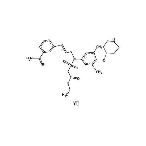 CCOC(=O)CS(=O)(=O)N(C/C=C/c1cccc(C(=N)N)c1)c1cc(C)c(OC2CCNCC2)c(C)c1.Cl.Cl